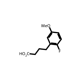 COc1ccc(F)c(CCCC(=O)O)c1